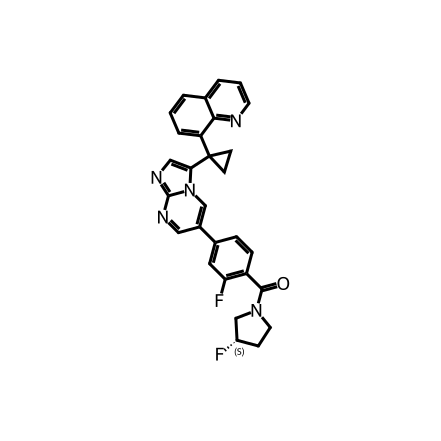 O=C(c1ccc(-c2cnc3ncc(C4(c5cccc6cccnc56)CC4)n3c2)cc1F)N1CC[C@H](F)C1